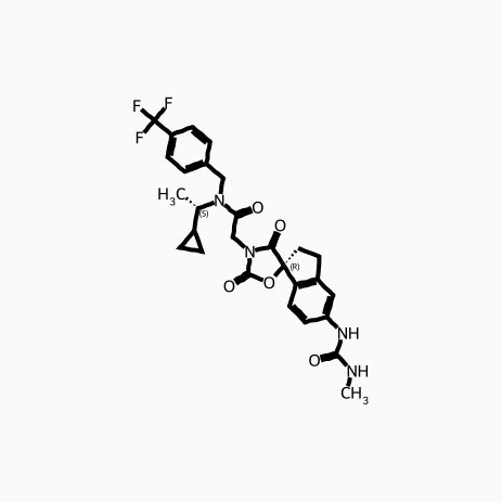 CNC(=O)Nc1ccc2c(c1)CC[C@@]21OC(=O)N(CC(=O)N(Cc2ccc(C(F)(F)F)cc2)[C@@H](C)C2CC2)C1=O